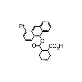 CCc1cccc2c(OC(=O)C3CC=CCC3C(=O)O)c3ccccc3cc12